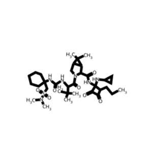 CCCC1C(=O)C(=O)C1(NC(=O)C1C2C(CN1C(=O)C(NC(=O)NC1(CS(=O)(=O)N(C)C)CCCCC1)C(C)(C)C)C2(C)C)NC1CC1